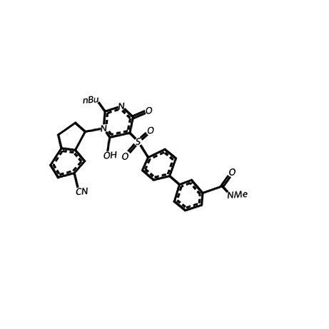 CCCCc1nc(=O)c(S(=O)(=O)c2ccc(-c3cccc(C(=O)NC)c3)cc2)c(O)n1C1CCc2ccc(C#N)cc21